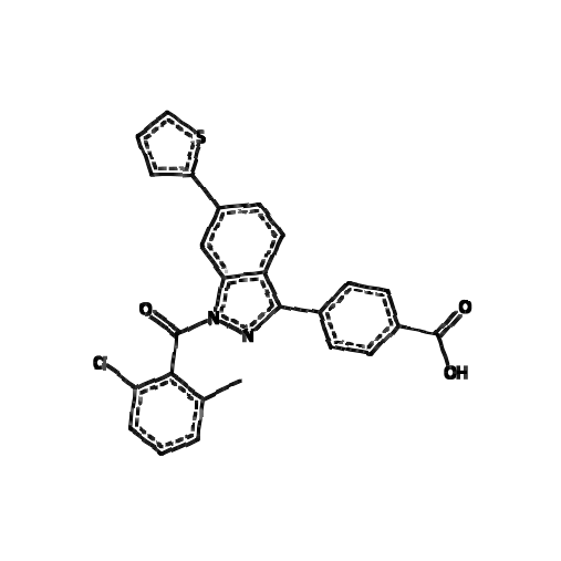 Cc1cccc(Cl)c1C(=O)n1nc(-c2ccc(C(=O)O)cc2)c2ccc(-c3cccs3)cc21